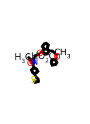 Cc1oc(-c2ccc(-c3cccs3)cc2)nc1CCOc1ccc(CC(C)(Oc2ccccc2)C(=O)O)c2ccccc12